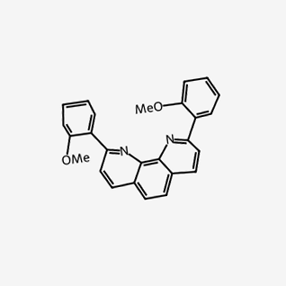 COc1ccccc1-c1ccc2ccc3ccc(-c4ccccc4OC)nc3c2n1